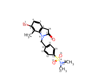 Cc1c(Br)ccc2c1N(Cc1ccc(S(=O)(=O)N(C)C)cc1)C(=O)C2